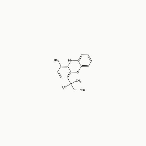 CC(C)(C)CC(C)(C)c1ccc(C(C)(C)C)c2c1Sc1ccccc1N2